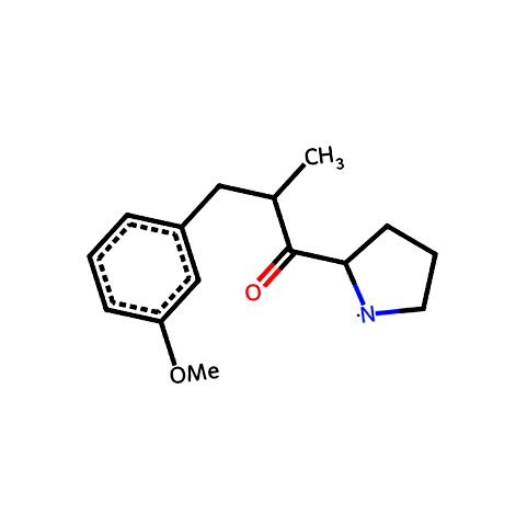 COc1cccc(CC(C)C(=O)C2CCC[N]2)c1